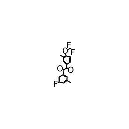 Cc1cc(F)cc(C(=O)C(=O)c2ccc(OC(F)F)c(C)c2)c1